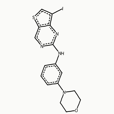 Ic1csc2cnc(Nc3cccc(N4CCOCC4)c3)nc12